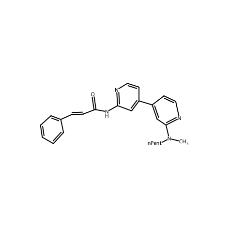 CCCCCN(C)c1cc(-c2ccnc(NC(=O)C=Cc3ccccc3)c2)ccn1